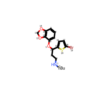 CCCCNCCC(Oc1cccc2c1OCO2)c1ccc(Br)s1